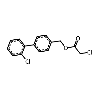 O=C(CCl)OCc1ccc(-c2ccccc2Cl)cc1